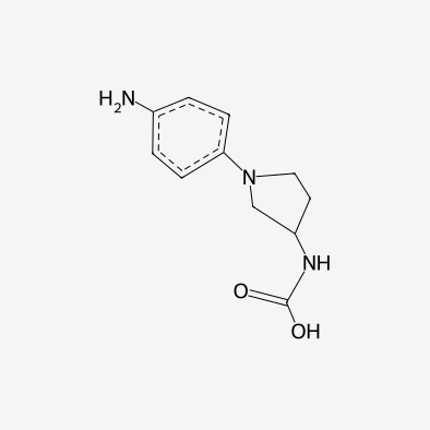 Nc1ccc(N2CCC(NC(=O)O)C2)cc1